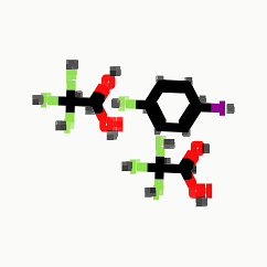 Fc1ccc(I)cc1.O=C(O)C(F)(F)F.O=C(O)C(F)(F)F